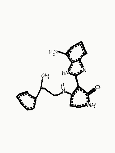 Nc1cccc2nc(-c3c(NCC(O)c4ccccc4)cc[nH]c3=O)[nH]c12